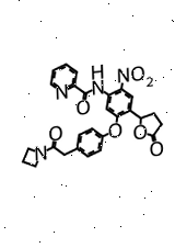 O=C1CCC(c2cc([N+](=O)[O-])c(NC(=O)c3ccccn3)cc2Oc2ccc(CC(=O)N3CCC3)cc2)O1